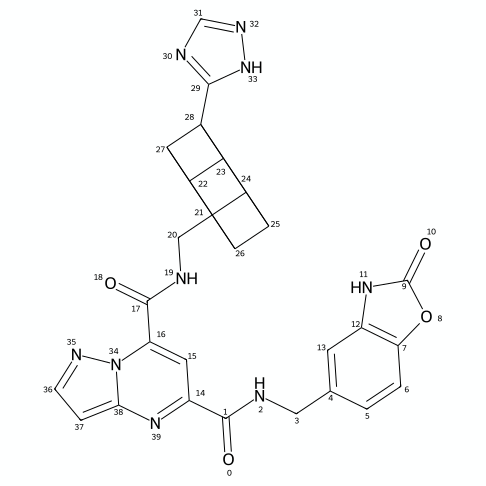 O=C(NCc1ccc2oc(=O)[nH]c2c1)c1cc(C(=O)NCC23C4C5C2C2C3C4C52c2ncn[nH]2)n2nccc2n1